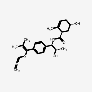 C=C=CSC(=C(C)C)c1ccc([C@@H](NC(=O)[C@@H]2C[C@@H](O)CC=C2C)[C@H](C)O)cc1